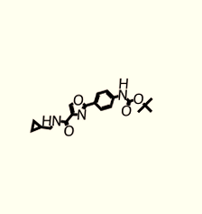 CC(C)(C)OC(=O)Nc1ccc(-c2nc(C(=O)NCC3CC3)co2)cc1